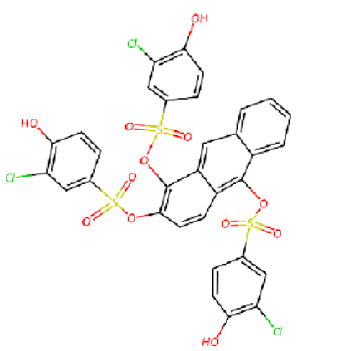 O=S(=O)(Oc1ccc2c(OS(=O)(=O)c3ccc(O)c(Cl)c3)c3ccccc3cc2c1OS(=O)(=O)c1ccc(O)c(Cl)c1)c1ccc(O)c(Cl)c1